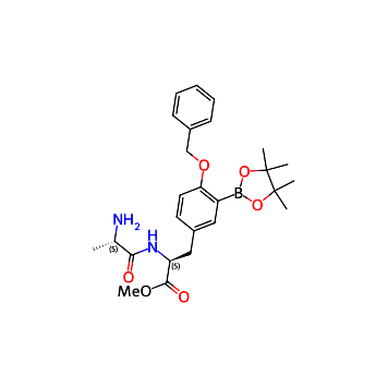 COC(=O)[C@H](Cc1ccc(OCc2ccccc2)c(B2OC(C)(C)C(C)(C)O2)c1)NC(=O)[C@H](C)N